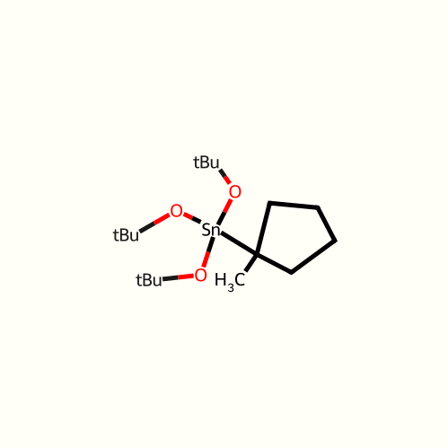 CC(C)(C)[O][Sn]([O]C(C)(C)C)([O]C(C)(C)C)[C]1(C)CCCC1